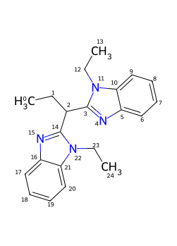 CCC(c1nc2ccccc2n1CC)c1nc2ccccc2n1CC